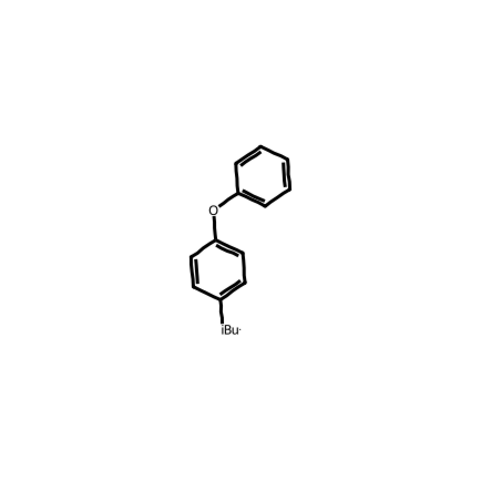 CC[C](C)c1ccc(Oc2ccccc2)cc1